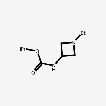 CCN1CC(NC(=O)OC(C)C)C1